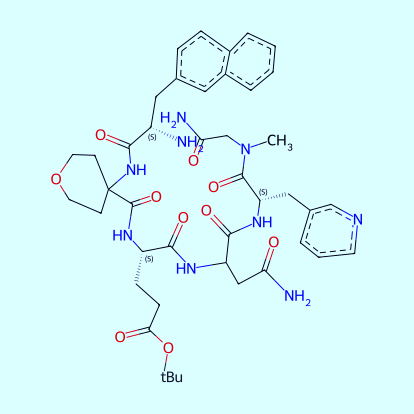 CN(CC(N)=O)C(=O)[C@H](Cc1cccnc1)NC(=O)C(CC(N)=O)NC(=O)[C@H](CCC(=O)OC(C)(C)C)NC(=O)C1(NC(=O)[C@@H](N)Cc2ccc3ccccc3c2)CCOCC1